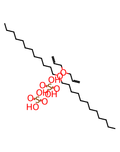 C=CCOCC=C.CCCCCCCCCCCCOCCCCCCCCCCCC.O=S(=O)(O)O.O=S(=O)(O)O